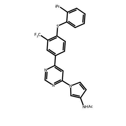 CC(=O)Nc1ccn(-c2cc(-c3ccc(Sc4ccccc4C(C)C)c(C(F)(F)F)c3)ncn2)c1